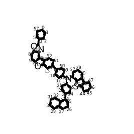 c1ccc(-c2nc3c(ccc4oc5cc(-c6ccc(N(c7ccc(-c8cccc9ccccc89)cc7)c7cccc8c7sc7ccccc78)cc6)ccc5c43)o2)cc1